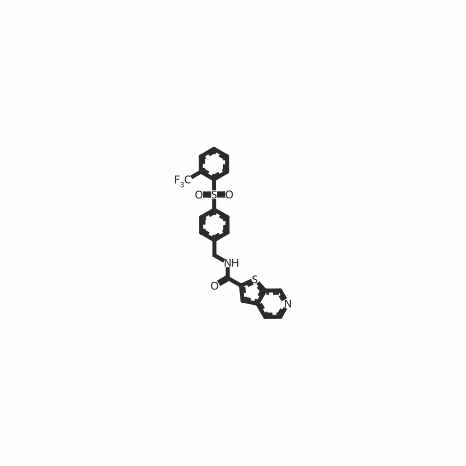 O=C(NCc1ccc(S(=O)(=O)c2ccccc2C(F)(F)F)cc1)c1cc2ccncc2s1